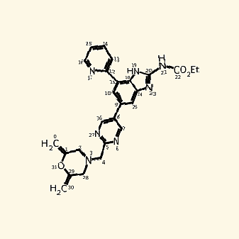 C=C1CN(Cc2ncc(-c3cc(-c4ccccn4)c4[nH]c(NC(=O)OCC)nc4c3)cn2)CC(=C)O1